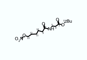 CC(C)(C)OC(=O)CCNC(=O)CCCCCO[N+](=O)[O-]